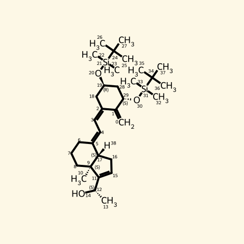 C=C1C(=CC=C2CCC[C@]3(C)C([C@H](C)O)=CC[C@@H]23)C[C@@H](O[Si](C)(C)C(C)(C)C)C[C@@H]1O[Si](C)(C)C(C)(C)C